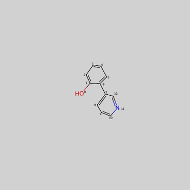 Oc1c[c]ccc1-c1cccnc1